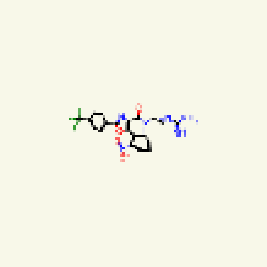 N=C(N)NCCNC(=O)c1nc(-c2ccc(C(F)(F)F)cc2)oc1-c1ccccc1[N+](=O)[O-]